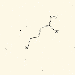 [CH2]C(O)CCCC(C)C